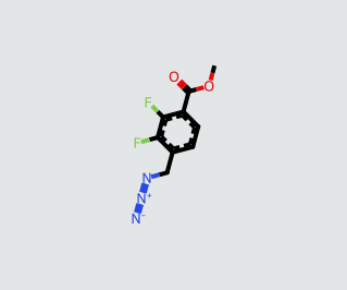 COC(=O)c1ccc(CN=[N+]=[N-])c(F)c1F